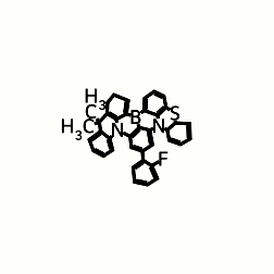 CC1(C)C2=C3C(=CCC2)B2c4cccc5c4N(c4cc(-c6ccccc6F)cc(c42)N3c2ccccc21)C1C=CC=CC1S5